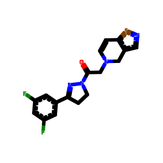 O=C(CN1C=Cc2sncc2C1)N1CCC(c2cc(F)cc(F)c2)=N1